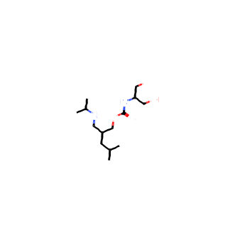 CC(C)CC(CNC(C)C)COC(=O)NC(CO)CO